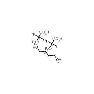 CC(F)(C(F)(F)F)S(=O)(=O)O.CC(F)(C(F)(F)F)S(=O)(=O)O.OCCCCO